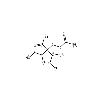 CC(CO)C(CCC(N)=O)(C(=O)O)C(C)CO